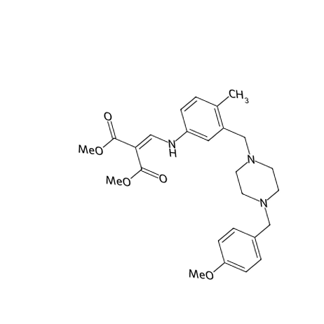 COC(=O)C(=CNc1ccc(C)c(CN2CCN(Cc3ccc(OC)cc3)CC2)c1)C(=O)OC